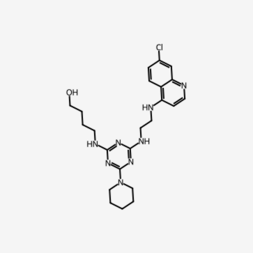 OCCCCNc1nc(NCCNc2ccnc3cc(Cl)ccc23)nc(N2CCCCC2)n1